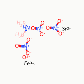 BNB.O=[N+]([O-])[O-].O=[N+]([O-])[O-].O=[N+]([O-])[O-].[Fe+3].[O-2].[Sr+2]